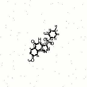 COc1ccc2c(=O)[nH]c3c(S(=O)(=O)c4ccc(C)cc4C)nnn3c2c1